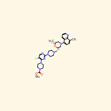 C[C@@H]1CN(c2ccc(C#N)c3ncccc23)C[C@H](CN2CCN(c3ncc(F)c(N4CCN(C(=O)OC(C)(C)C)CC4)n3)CC2)O1